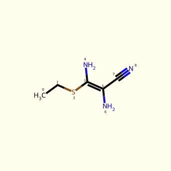 CCSC(N)=C(N)C#N